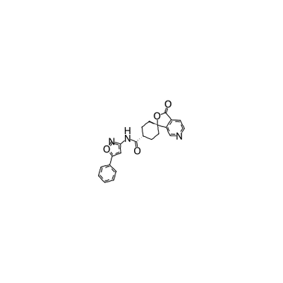 O=C1O[C@]2(CC[C@@H](C(=O)Nc3cc(-c4ccccc4)on3)CC2)c2cnccc21